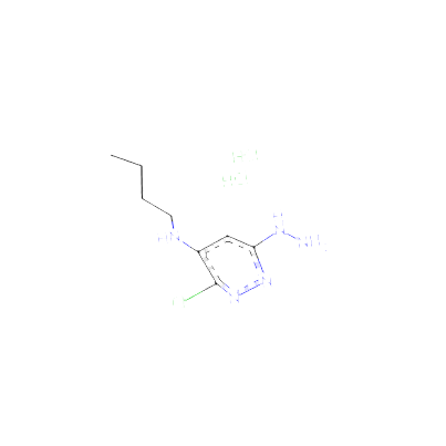 CCCCNc1cc(NN)nnc1Cl.Cl.Cl